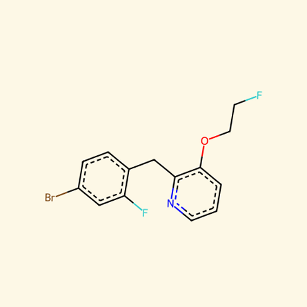 FCCOc1cccnc1Cc1ccc(Br)cc1F